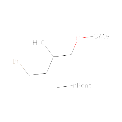 CCCCCC[C@H](CBr)C(C)COOC